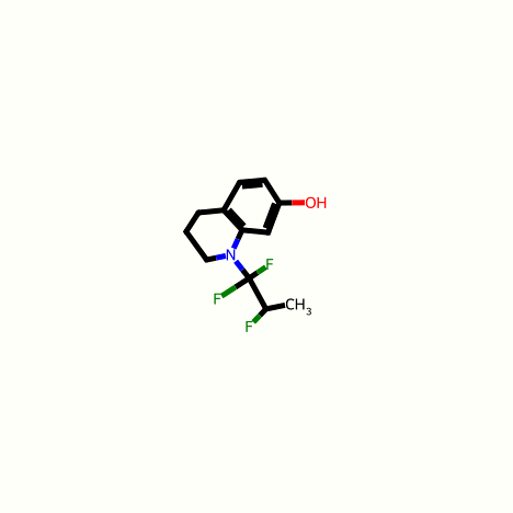 CC(F)C(F)(F)N1CCCc2ccc(O)cc21